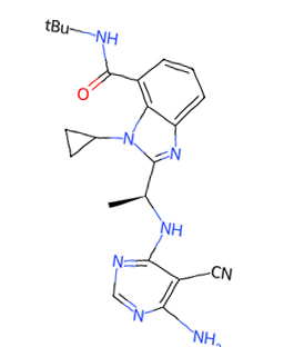 C[C@H](Nc1ncnc(N)c1C#N)c1nc2cccc(C(=O)NC(C)(C)C)c2n1C1CC1